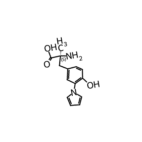 C[C@](N)(Cc1ccc(O)c(-n2cccc2)c1)C(=O)O